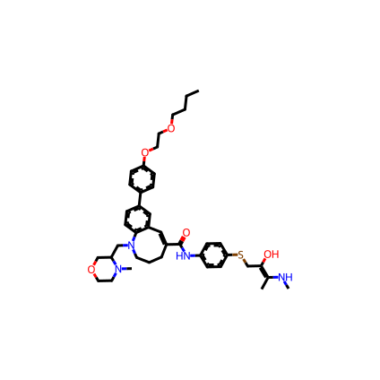 CCCCOCCOc1ccc(-c2ccc3c(c2)/C=C(/C(=O)Nc2ccc(SC/C(O)=C(\C)NC)cc2)CCCN3CC2COCCN2C)cc1